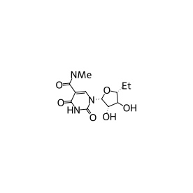 CC[C@H]1O[C@@H](n2cc(C(=O)NC)c(=O)[nH]c2=O)[C@@H](O)C1O